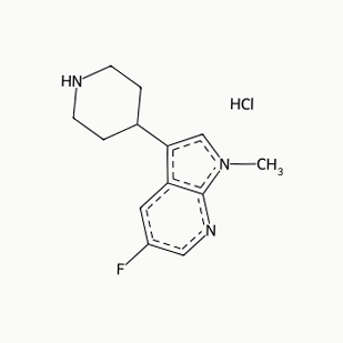 Cl.Cn1cc(C2CCNCC2)c2cc(F)cnc21